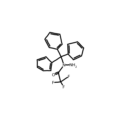 NN(C(=O)C(F)(F)F)C(c1ccccc1)(c1ccccc1)c1ccccc1